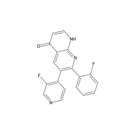 O=c1cc[nH]c2nc(-c3ccccc3F)c(-c3ccncc3F)cc12